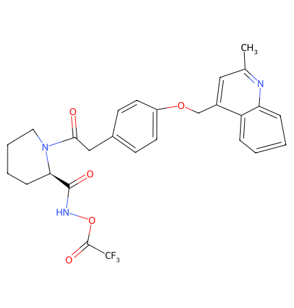 Cc1cc(COc2ccc(CC(=O)N3CCCC[C@@H]3C(=O)NOC(=O)C(F)(F)F)cc2)c2ccccc2n1